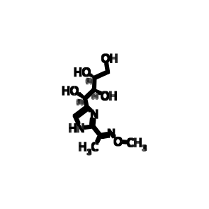 CON=C(C)c1nc([C@@H](O)[C@H](O)[C@H](O)CO)c[nH]1